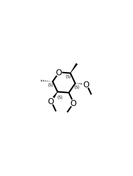 COC1[C@@H](OC)[C@H](C)O[C@@H](C)[C@@H]1OC